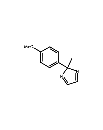 COc1ccc(C2(C)N=CC=N2)cc1